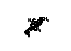 COC(=O)Cc1c(C)c2ccc(OCc3cccc(I)c3)c(C)c2oc1=O